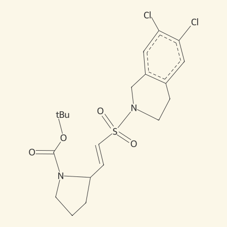 CC(C)(C)OC(=O)N1CCCC1C=CS(=O)(=O)N1CCc2cc(Cl)c(Cl)cc2C1